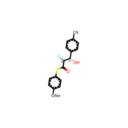 COc1ccc(SC(=O)[C@@H](F)[C@@H](O)c2ccc(C#N)cc2)cc1